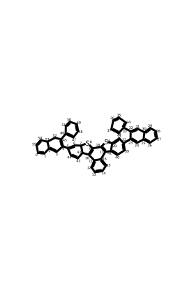 C1=CC2=CC(C3=CC4Sc5c(c6ccccc6c6c5sc5cc(-c7cc8ccccc8cc7-c7ccccc7)ccc56)C4C=C3)=C(c3ccccc3)CC2C=C1